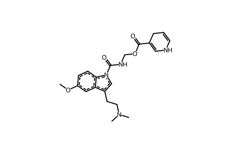 COc1ccc2c(c1)c(CCN(C)C)cn2C(=O)NCOC(=O)C1=CNC=CC1